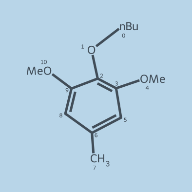 CCCCOc1c(OC)cc(C)cc1OC